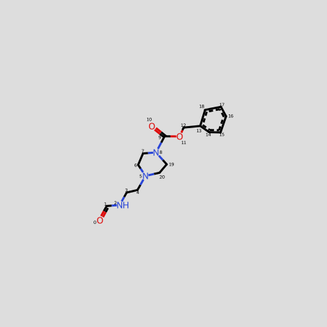 O=CNCCN1CCN(C(=O)OCc2ccccc2)CC1